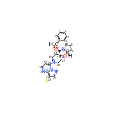 Cc1ccccc1[C@@H]1CC[C@H]2OC3(CCN(c4ccnc5c(F)cnn45)CC3)C(=O)N21